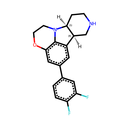 Fc1ccc(-c2cc3c4c(c2)[C@@H]2CNCC[C@@H]2N4CCO3)cc1F